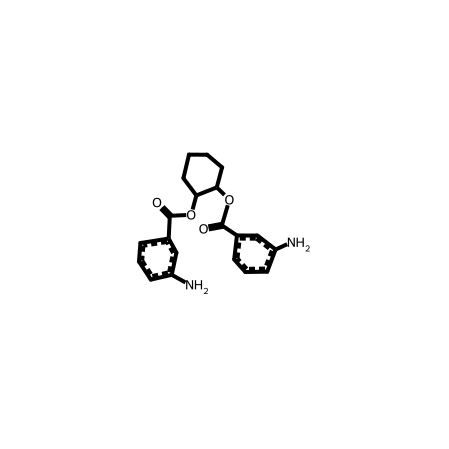 Nc1cccc(C(=O)OC2CCCCC2OC(=O)c2cccc(N)c2)c1